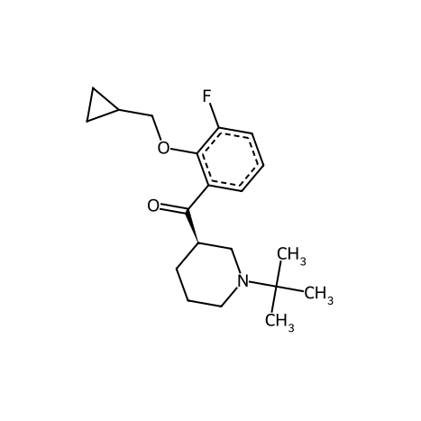 CC(C)(C)N1CCC[C@@H](C(=O)c2cccc(F)c2OCC2CC2)C1